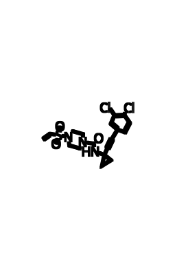 C=CS(=O)(=O)N1CCN(C(=O)NC2(C#Cc3ccc(Cl)c(Cl)c3)CC2)CC1